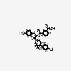 CC1(C)CN(C(=O)[C@@H](Cc2ccc(O)cc2)NC(=O)c2cccc(C(=O)O)c2)CC[C@]1(O)c1ccc(Cl)cc1